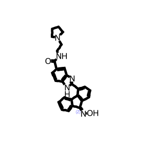 O=C(NCCN1CCCC1)c1ccc2[nH]c(-c3cccc4c3-c3ccccc3/C4=N/O)nc2c1